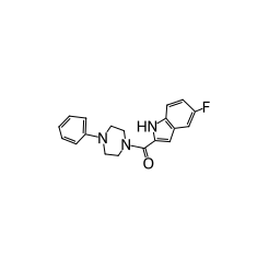 O=C(c1cc2cc(F)ccc2[nH]1)N1CCN(c2ccccc2)CC1